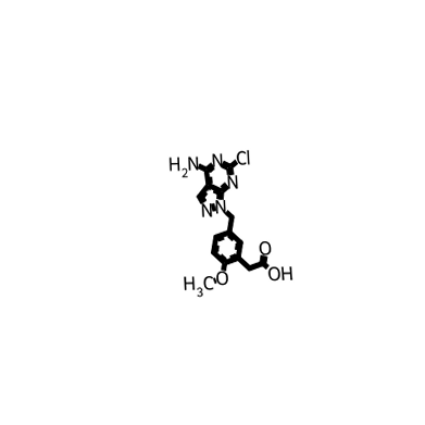 COc1ccc(Cn2ncc3c(N)nc(Cl)nc32)cc1CC(=O)O